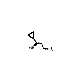 B=C(CCN)C1CC1